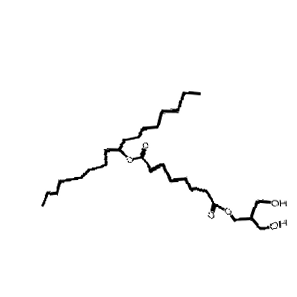 CCCCCCCCC(CCCCCCCC)OC(=O)CCCCCCC(=O)OCC(CO)CO